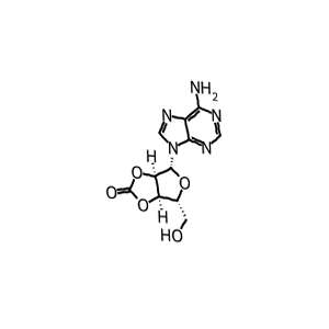 Nc1ncnc2c1ncn2[C@@H]1O[C@H](CO)[C@H]2OC(=O)O[C@H]21